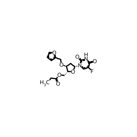 CCC(=O)OC[C@H]1O[C@@H](n2cc(F)c(=O)[nH]c2=O)C[C@@H]1OCc1ccco1